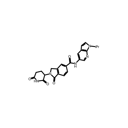 CC(C)n1ccc2cc(NC(=O)c3ccc4c(c3)CN(C3CCC(=O)NC3=O)C4=O)cnc21